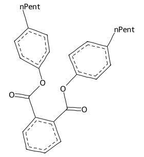 CCCCCc1ccc(OC(=O)c2ccccc2C(=O)Oc2ccc(CCCCC)cc2)cc1